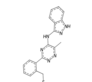 Cc1nnc(-c2ccccc2CF)nc1Nc1n[nH]c2ccccc12